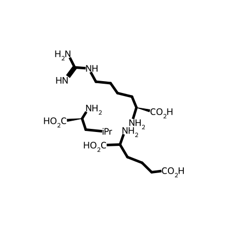 CC(C)C[C@H](N)C(=O)O.N=C(N)NCCCC[C@H](N)C(=O)O.NC(CCCC(=O)O)C(=O)O